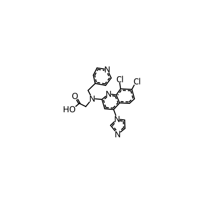 O=C(O)CN(Cc1ccncc1)c1cc(-n2ccnc2)c2ccc(Cl)c(Cl)c2n1